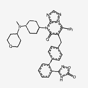 CCCc1c(Cc2ccc(-c3ccccc3-c3noc(=O)[nH]3)cc2)c(=O)n(C2CCC(N(C)C3CCOCC3)CC2)c2ncnn12